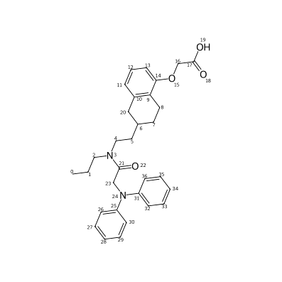 CCCN(CCC1CCc2c(cccc2OCC(=O)O)C1)C(=O)CN(c1ccccc1)c1ccccc1